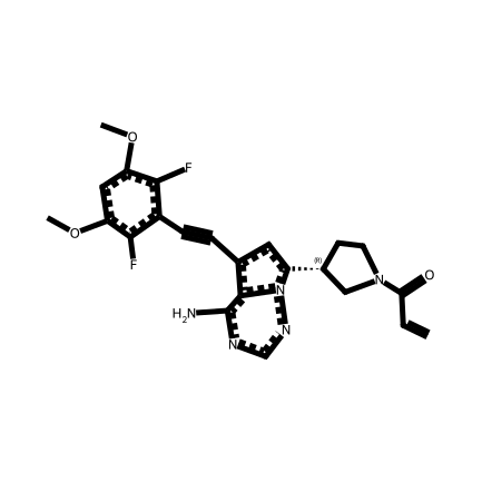 C=CC(=O)N1CC[C@@H](c2cc(C#Cc3c(F)c(OC)cc(OC)c3F)c3c(N)ncnn23)C1